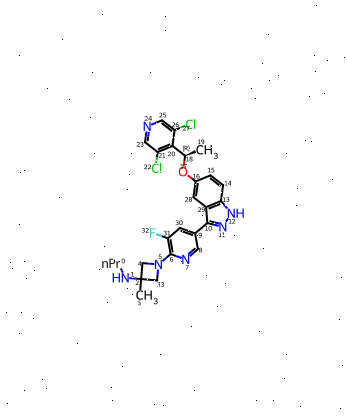 CCCNC1(C)CN(c2ncc(-c3n[nH]c4ccc(O[C@H](C)c5c(Cl)cncc5Cl)cc34)cc2F)C1